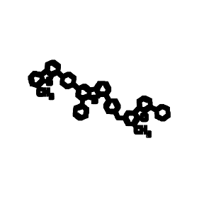 Cc1cc(Cc2ccc(-c3cccc4c3sc3c(-c5ccccc5)cc(C5CCC(c6cccc7c6sc6c(C)cccc67)CC5)cc34)cc2)cc2c1oc1c(C3CCCCC3)cccc12